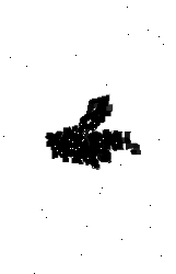 C=C(Nc1nc(-c2ccc(C(F)(F)F)cc2)nc2c1cnn2C(C)(C)C)c1ccc(N)s1